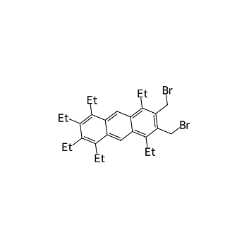 CCc1c(CC)c(CC)c2cc3c(CC)c(CBr)c(CBr)c(CC)c3cc2c1CC